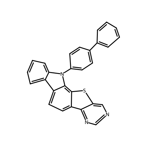 c1ccc(-c2ccc(-n3c4ccccc4c4ccc5c6ncncc6sc5c43)cc2)cc1